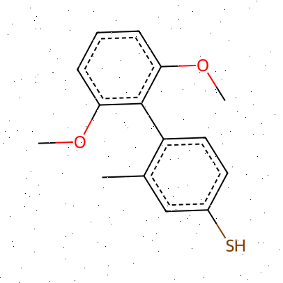 COc1cccc(OC)c1-c1ccc(S)cc1C